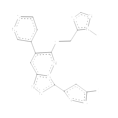 Cc1cc(-c2nnc3cc(-c4ccnnc4)c(OCc4ncnn4C)nn23)no1